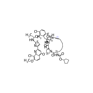 COc1ccc2c(O[C@@H]3C[C@H]4C(=O)N[C@]5(P(=O)(O)Cc6c(F)ccc(Cl)c6F)C[C@H]5/C=C\CCCCC[C@H](NC(=O)OC5CCCC5)C(=O)N4C3)cc(-c3csc(NC(C)C)n3)nc2c1Cl